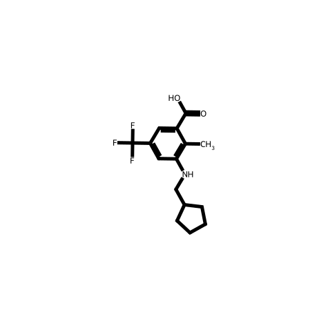 Cc1c(NCC2CCCC2)cc(C(F)(F)F)cc1C(=O)O